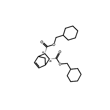 O=C(OCC1CCCCC1)[C@@H]1C2C=CC(C2)[C@@H]1C(=O)OCC1CCCCC1